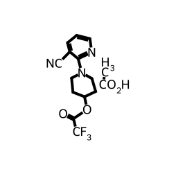 CC(=O)O.N#Cc1cccnc1N1CCC(OC(=O)C(F)(F)F)CC1